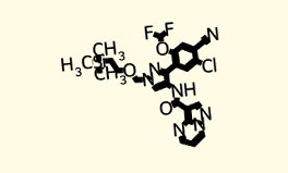 C[Si](C)(C)CCOCn1cc(NC(=O)c2cnn3cccnc23)c(-c2cc(Cl)c(C#N)cc2OC(F)F)n1